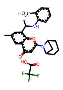 Cc1cc(C(C)Nc2ccccc2C(=O)O)c2oc(N3C4CCCC3C4)cc(=O)c2c1.O=C(O)C(F)(F)F